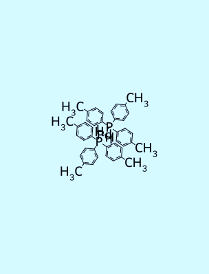 Cc1ccc([PH](c2ccc(C)cc2)(c2ccc(C)cc2)[Pd]([I])([I])[PH](c2ccc(C)cc2)(c2ccc(C)cc2)c2ccc(C)cc2)cc1